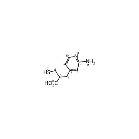 Nc1cc(CC(CS)C(=O)O)ccn1